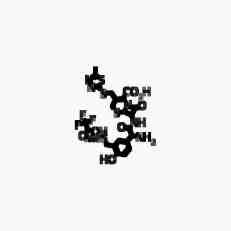 CSCc1cc(C(N)C(=O)NC2C(=O)N3C(C(=O)O)=C(CSc4nnc(C)s4)CSC23)ccc1O.O=C(O)C(F)(F)F